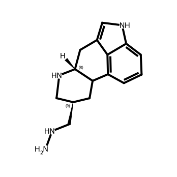 NNC[C@H]1CN[C@@H]2Cc3c[nH]c4cccc(c34)C2C1